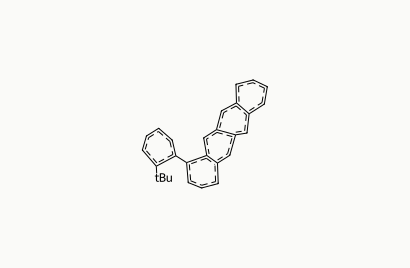 CC(C)(C)c1ccccc1-c1cccc2cc3cc4ccccc4cc3cc12